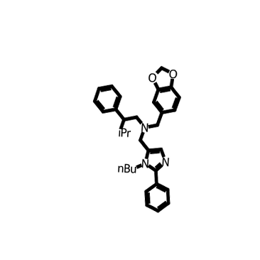 CCCCn1c(CN(Cc2ccc3c(c2)OCO3)CC(c2ccccc2)C(C)C)cnc1-c1ccccc1